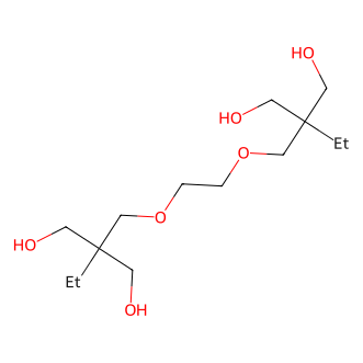 CCC(CO)(CO)COCCOCC(CC)(CO)CO